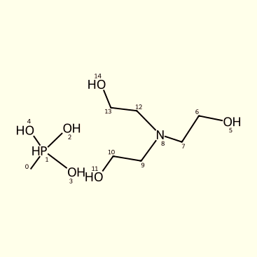 C[PH](O)(O)O.OCCN(CCO)CCO